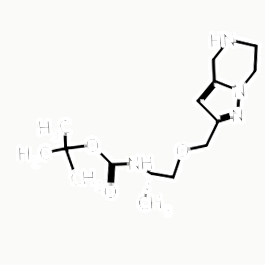 C[C@@H](COCc1cc2n(n1)CCNC2)NC(=O)OC(C)(C)C